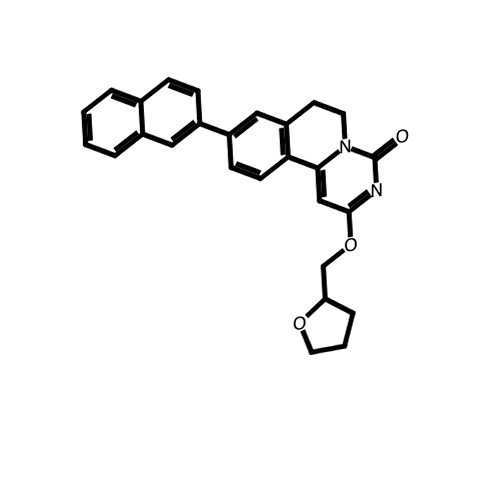 O=c1nc(OCC2CCCO2)cc2n1CCc1cc(-c3ccc4ccccc4c3)ccc1-2